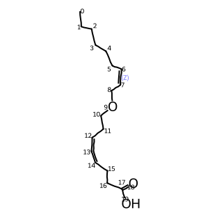 CCCCCC/C=C\COCCC=C=CCCC(=O)O